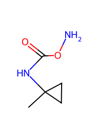 CC1(NC(=O)ON)CC1